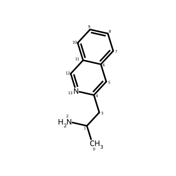 CC(N)Cc1cc2ccccc2cn1